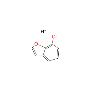 [H+].[O]c1cccc2ccoc12